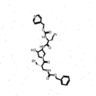 CC(C)C[C@@H](CNC(=O)OCc1ccccc1)C(=O)N1CC(O)C(NC(=O)[C@H](CC(C)C)NC(=O)OCc2ccncc2)C1